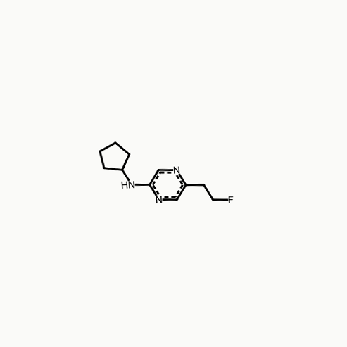 FCCc1cnc(NC2CCCC2)cn1